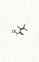 C=C(CCl)C(C)=C(C)C